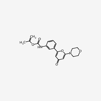 C=C(C)OC(=O)Nc1cccc(-c2cc(=O)cc(N3CCOCC3)o2)c1